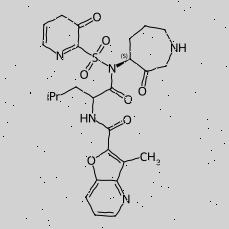 Cc1c(C(=O)NC(CC(C)C)C(=O)N([C@H]2CCCNCC2=O)S(=O)(=O)C2=NC=CCC2=O)oc2cccnc12